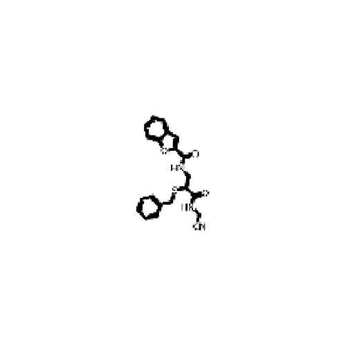 N#CCNC(=O)C(CNC(=O)c1cc2ccccc2o1)SCc1ccccc1